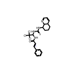 O=C(/C=C/c1ccccc1)NC(NC(=S)NC1CCCC2C=CC=NC21)C(Cl)(Cl)Cl